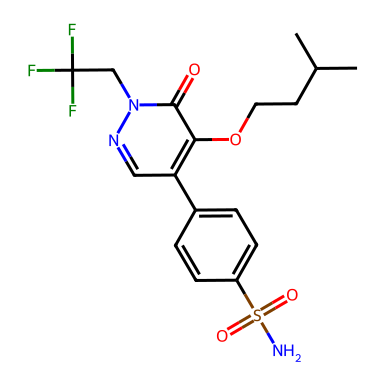 CC(C)CCOc1c(-c2ccc(S(N)(=O)=O)cc2)cnn(CC(F)(F)F)c1=O